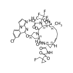 C[C@@H]1CCC=C[C@@H]2C[C@@]2(C(=O)NS(=O)(=O)C2(CF)CC2)NC(=O)[C@@H]2C[C@@H](Oc3nc4nccn4c4ccc(Cl)cc34)CN2C(=O)[C@@H](N(C(=O)O)C(C)(C)C(F)(F)F)[C@H](C)C1